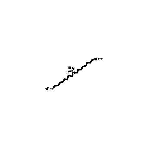 CCCCCCCCCCCCCCCCCCN(CCCCCCCCCCCCCCCCCC)S(=O)(=O)Cl